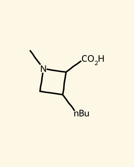 CCCCC1CN(C)C1C(=O)O